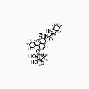 CO[C@@H]1[C@@H](O)[C@@H](O)[C@H](Oc2ccc3cc(NC(=O)c4cc5ccccc5[nH]4)c(=O)oc3c2-c2ccccc2)OC1(C)C